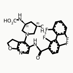 C[C@@H]1C[C@H](NC(=O)O)CN(c2c(NC(=O)c3ccc(F)c(-c4c(F)cccc4F)c3F)cnc3c2CCO3)C1